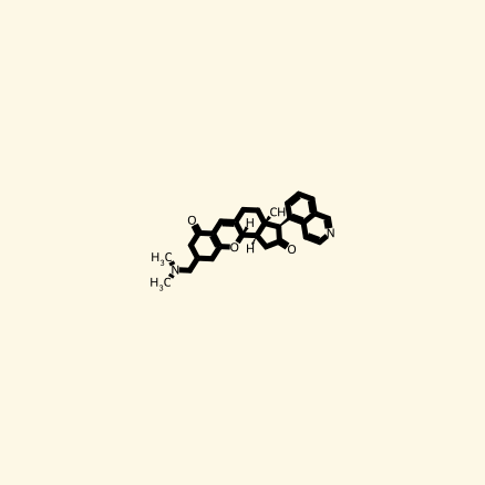 CN(C)CC1CC(=O)C2=C(C1)O[C@@H]1C(=C2)CC[C@]2(C)[C@@H](c3cccc4cnccc34)C(=O)C[C@@H]12